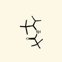 CC(C)C(NC(=O)C(C)(C)C)C(C)(C)C